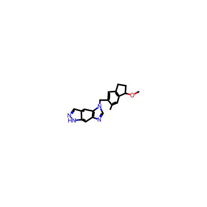 COC1CCc2cc(Cn3cnc4cc5[nH]ncc5cc43)c(C)cc21